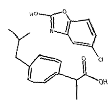 CC(C)Cc1ccc(C(C)C(=O)O)cc1.Oc1nc2cc(Cl)ccc2o1